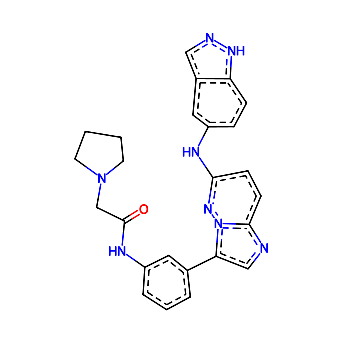 O=C(CN1CCCC1)Nc1cccc(-c2cnc3ccc(Nc4ccc5[nH]ncc5c4)nn23)c1